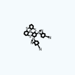 N#Cc1ccc2c(c1)ncn2-c1cc(-n2cnc3cc(C#N)ccc32)c2c3c1Sc1cccc4c1B3c1c(cccc1S2)S4